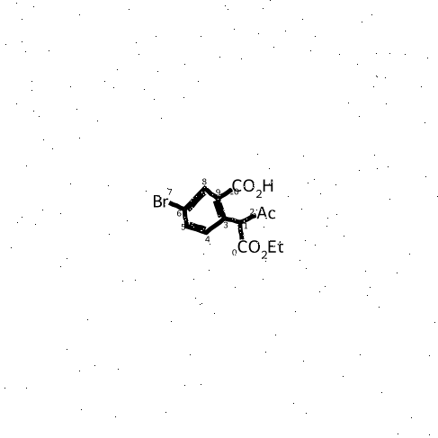 CCOC(=O)C(C(C)=O)c1ccc(Br)cc1C(=O)O